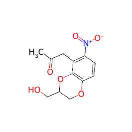 CC(=O)Cc1c([N+](=O)[O-])ccc2c1OC(CO)CO2